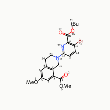 COC(=O)c1cc(OC)cc2c1CN(c1ccc(Br)c(C(=O)OC(C)(C)C)n1)CC2